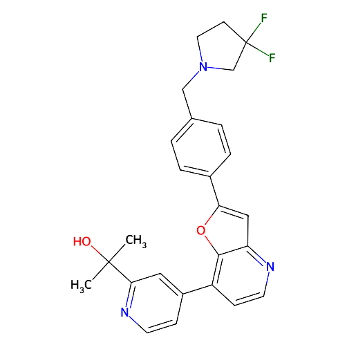 CC(C)(O)c1cc(-c2ccnc3cc(-c4ccc(CN5CCC(F)(F)C5)cc4)oc23)ccn1